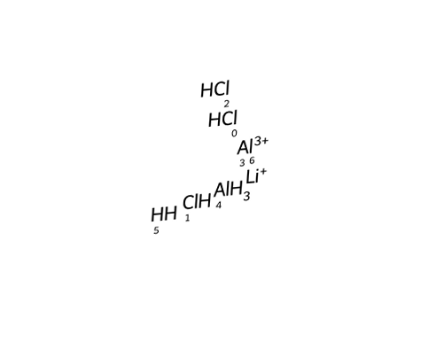 Cl.Cl.Cl.[Al+3].[AlH3].[HH].[Li+]